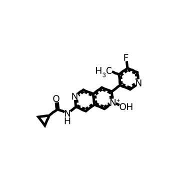 Cc1c(F)cncc1-c1cc2cnc(NC(=O)C3CC3)cc2c[n+]1O